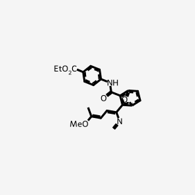 C=N/C(=C\C=C(/C)OC)c1c(C(=O)Nc2ccc(C(=O)OCC)cc2)c2ccc1o2